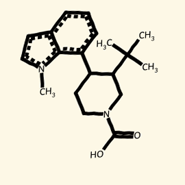 Cn1ccc2cccc(C3CCN(C(=O)O)CC3C(C)(C)C)c21